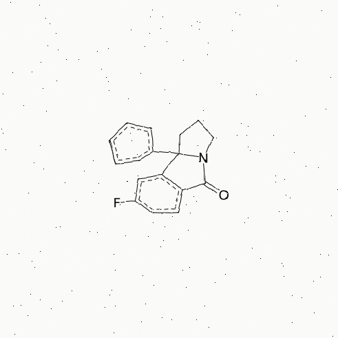 O=C1c2ccc(F)cc2C2(c3ccccc3)CCCN12